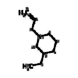 C=CCN1CCCC(CC)C1